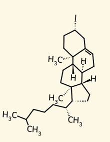 CC(C)CCC[C@@H](C)[C@H]1CC[C@H]2[C@@H]3CC=C4C[C@@H](I)CC[C@]4(C)[C@H]3CC[C@]12C